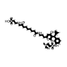 Cn1cnc(S(=O)(=O)Nc2cccc(C(c3c(O)cc(CCCNC(=O)CCCCCCC(=O)CNCCS(=O)(=O)O)oc3=O)C3CC3)c2)c1